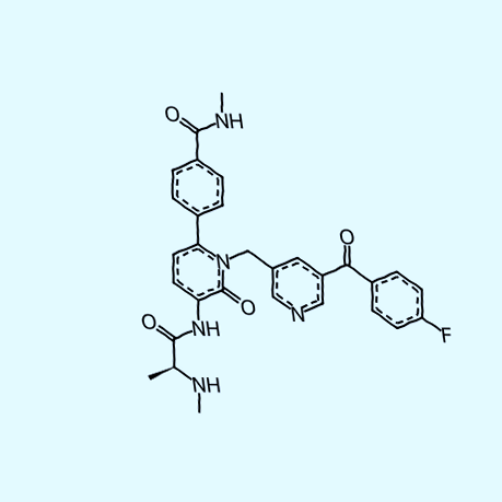 CNC(=O)c1ccc(-c2ccc(NC(=O)[C@H](C)NC)c(=O)n2Cc2cncc(C(=O)c3ccc(F)cc3)c2)cc1